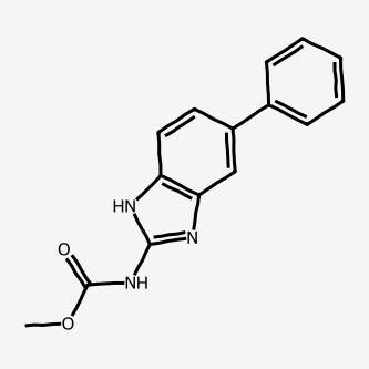 COC(=O)Nc1nc2cc(-c3ccccc3)ccc2[nH]1